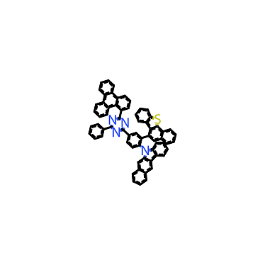 c1ccc(-c2nc(-c3ccc(-n4c5ccccc5c5cc6ccccc6cc54)c(-c4cc5ccccc5c5sc6ccccc6c45)c3)nc(-c3cccc4c5ccccc5c5ccccc5c34)n2)cc1